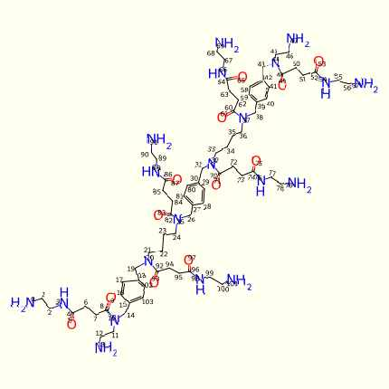 NCCNC(=O)CCC(=O)N(CCN)Cc1ccc(CN(CCCCN(Cc2ccc(CN(CCCCN(Cc3ccc(CN(CCN)C(=O)CCC(=O)NCCN)cc3)C(=O)CCC(=O)NCCN)C(=O)CCC(=O)NCCN)cc2)C(=O)CCC(=O)NCCN)C(=O)CCC(=O)NCCN)cc1